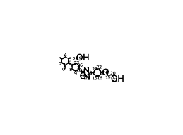 Cc1ccccc1-c1ccc(-c2nc(-c3ccc(OCCO)cc3)no2)cc1CO